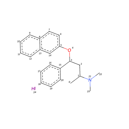 CC(CC(Oc1ccc2ccccc2c1)c1ccccc1)N(C)C.I